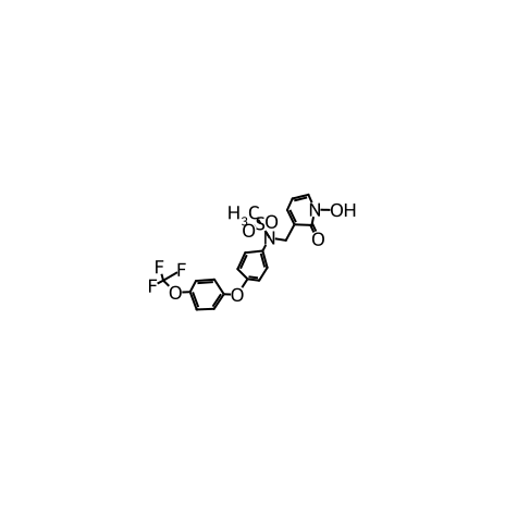 CS(=O)(=O)N(Cc1cccn(O)c1=O)c1ccc(Oc2ccc(OC(F)(F)F)cc2)cc1